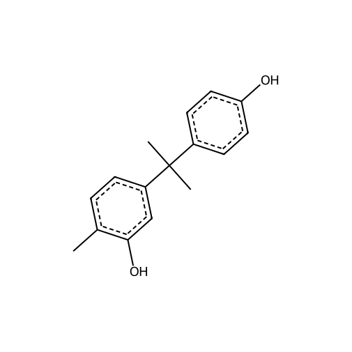 Cc1ccc(C(C)(C)c2ccc(O)cc2)cc1O